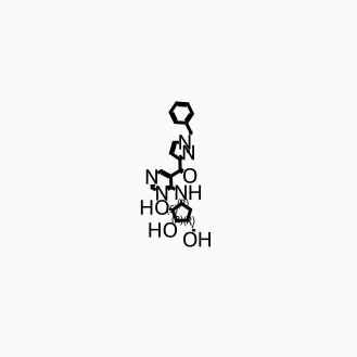 O=C(c1ccn(Cc2ccccc2)n1)c1cncnc1N[C@@H]1C[C@H](CO)[C@@H](O)[C@H]1O